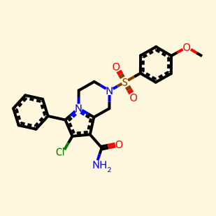 COc1ccc(S(=O)(=O)N2CCn3c(c(C(N)=O)c(Cl)c3-c3ccccc3)C2)cc1